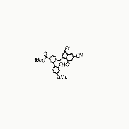 CCn1cc(Cc2ccc(C(=O)OC(C)(C)C)cc2-c2ccc(OC)cc2C=O)c2ccc(C#N)cc21